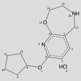 Cl.c1cc2c(nc1OC1CCCC1)OCCNC2